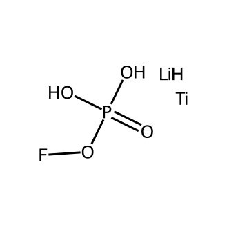 O=P(O)(O)OF.[LiH].[Ti]